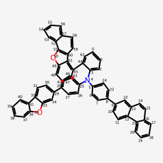 c1ccc(N(c2ccc(-c3ccc4c(ccc5ccccc54)c3)cc2)c2ccc(-c3ccc4c(c3)oc3ccccc34)cc2)c(-c2cccc3oc4c5ccccc5ccc4c23)c1